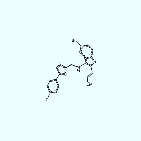 N#C/C=C/c1nc2ccc(Br)cn2c1NCc1nc(-c2ccc(F)cc2)cs1